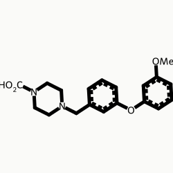 COc1cccc(Oc2cccc(CN3CCN(C(=O)O)CC3)c2)c1